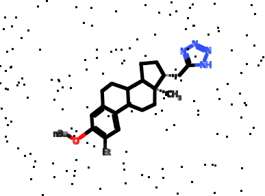 CCCCOc1cc2c(cc1CC)C1CC[C@@]3(C)C(CC[C@@H]3Cc3nnn[nH]3)C1CC2